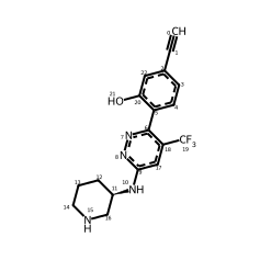 C#Cc1ccc(-c2nnc(N[C@@H]3CCCNC3)cc2C(F)(F)F)c(O)c1